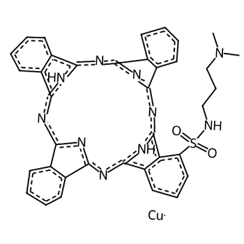 CN(C)CCCNS(=O)(=O)c1cccc2c3nc4nc(nc5[nH]c(nc6nc(nc([nH]3)c12)-c1ccccc1-6)c1ccccc51)-c1ccccc1-4.[Cu]